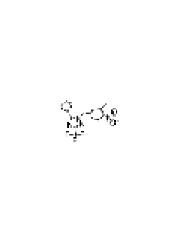 Cc1cc(Cn2nc(C(F)(F)F)nc2-c2cccs2)ccc1[N+](=O)[O-]